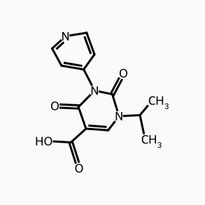 CC(C)n1cc(C(=O)O)c(=O)n(-c2ccncc2)c1=O